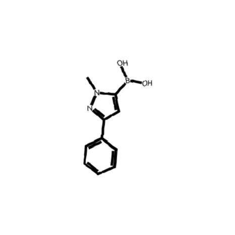 Cn1nc(-c2ccccc2)cc1B(O)O